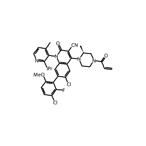 C=CC(=O)N1CCN(c2c(C#N)c(=O)n(-c3c(C)ccnc3C(C)C)c3cc(-c4c(OC)ccc(Cl)c4F)c(Cl)cc23)[C@@H](C)C1